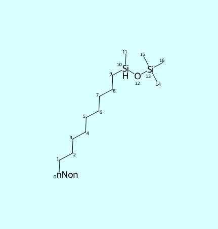 CCCCCCCCCCCCCCCCCC[SiH](C)O[Si](C)(C)C